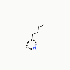 CC=CCCc1[c]nccc1